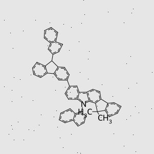 CC1(C)c2ccccc2-c2ccc3c4cc(-c5ccc6c(c5)-c5ccccc5C6c5ccc6ccccc6c5)ccc4n(-c4cccc5ccccc45)c3c21